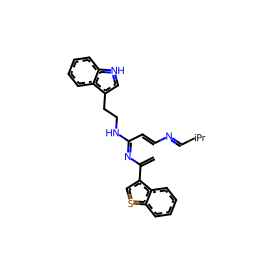 C=C(\N=C(/C=C/N=C/C(C)C)NCCc1c[nH]c2ccccc12)c1csc2ccccc12